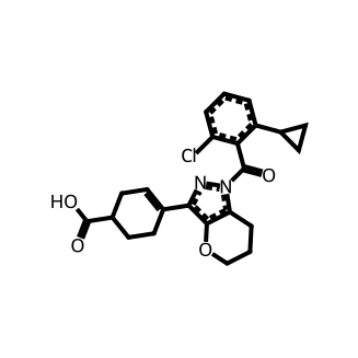 O=C(O)C1CC=C(c2nn(C(=O)c3c(Cl)cccc3C3CC3)c3c2OCCC3)CC1